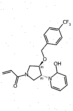 C=CC(=O)N1C[C@@H](N2C=CC=CC2O)[C@H](OCc2ccc(C(F)(F)F)cc2)C1